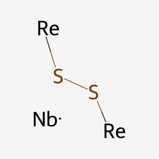 [Nb].[Re][S][S][Re]